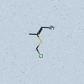 C/C(=C/C(C)C)SCCl